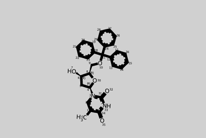 Cc1cn([C@H]2C[C@@H](O)[C@@H](COC(c3ccccc3)(c3ccccc3)c3ccccc3)O2)c(=O)[nH]c1=O